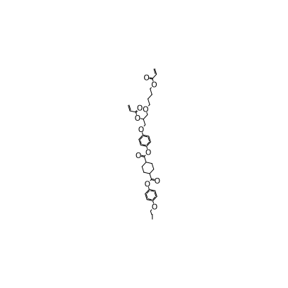 C=CC(=O)OCCCCOCC(COc1ccc(OC(=O)C2CCC(C(=O)Oc3ccc(OCI)cc3)CC2)cc1)OC(=O)C=C